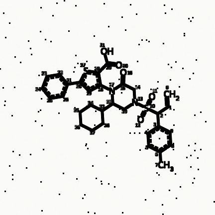 C=CC(c1ccc(C)cc1)S(=O)(=O)N1CC(=O)N(c2cc(-c3ccccc3)sc2C(=O)O)C(C2CCCCC2)C1